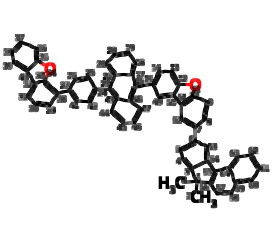 CC1(C)c2ccc(-c3ccc4oc5ccc(-c6c7ccccc7c(-c7ccc(-c8cccc9c8oc8ccccc89)cc7)c7ccccc67)cc5c4c3)cc2-c2c1ccc1ccccc21